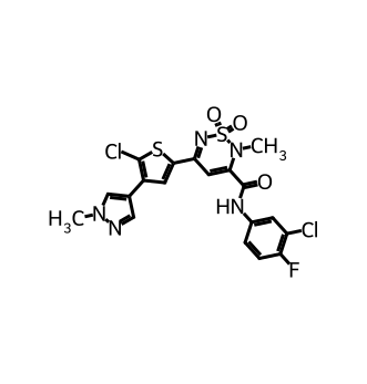 CN1C(C(=O)Nc2ccc(F)c(Cl)c2)=CC(c2cc(-c3cnn(C)c3)c(Cl)s2)=NS1(=O)=O